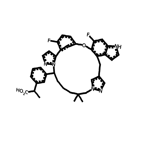 CC(C(=O)O)c1cccc(C2CCCC(C)(C)Cn3cc(cn3)Cc3c(c(F)cc4[nH]ccc34)Oc3ccc(F)c(c3)-c3ccnn32)c1